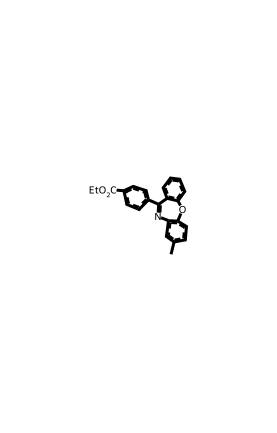 CCOC(=O)c1ccc(C2=Nc3cc(C)ccc3Oc3ccccc32)cc1